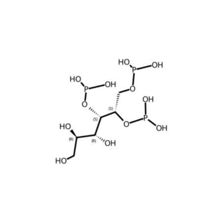 OC[C@@H](O)[C@@H](O)[C@H](OP(O)O)[C@H](COP(O)O)OP(O)O